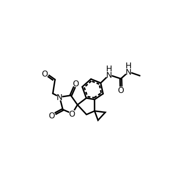 CNC(=O)Nc1ccc2c(c1)C1(CC1)CC21OC(=O)N(CC=O)C1=O